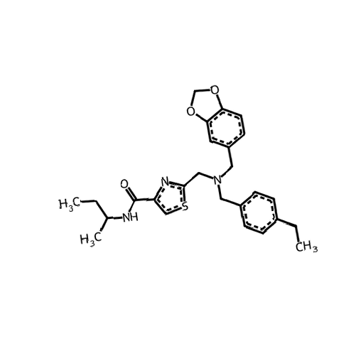 CCc1ccc(CN(Cc2ccc3c(c2)OCO3)Cc2nc(C(=O)NC(C)CC)cs2)cc1